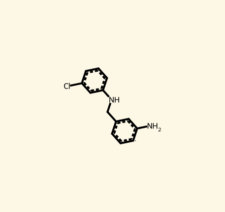 Nc1[c]ccc(CNc2cccc(Cl)c2)c1